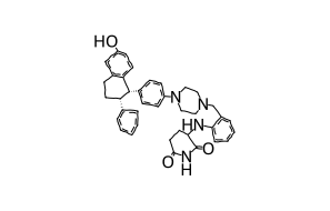 O=C1CCC(Nc2ccccc2CN2CCN(c3ccc([C@H]4c5ccc(O)cc5CC[C@H]4c4ccccc4)cc3)CC2)C(=O)N1